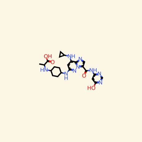 CC(NC1CCC(Nc2cc(NC3CC3)c3ncc(C(=O)Nc4cc(O)ncn4)n3n2)CC1)C(=O)O